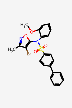 COc1ccccc1N(c1onc(C)c1Br)S(=O)(=O)c1ccc(-c2ccccc2)cc1